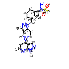 Cc1cc(N2CCc3c(c(C)nn3CC34CCCC(C3)C(NS(C)(=O)=O)CC4)C2)c2cnn(C)c2n1